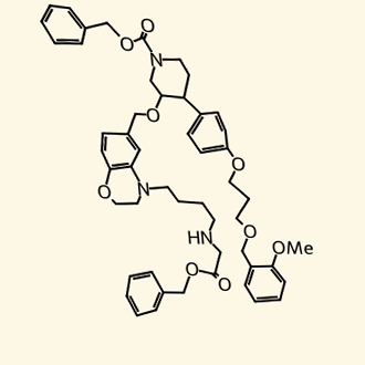 COc1ccccc1COCCCOc1ccc(C2CCN(C(=O)OCc3ccccc3)CC2OCc2ccc3c(c2)N(CCCCNCC(=O)OCc2ccccc2)CCO3)cc1